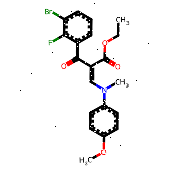 CCOC(=O)C(=CN(C)c1ccc(OC)cc1)C(=O)c1cccc(Br)c1F